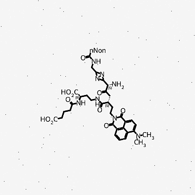 CCCCCCCCCC(=O)NCC1N2C([C@H](N)C(=O)C[C@H](CCN3C(=O)c4cccc5c(N(C)C)ccc(c45)C3=O)C(=O)NCC[C@@H](NC(=O)CCCC(=O)O)C(=O)O)N12